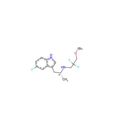 C[C@H](Cc1c[nH]c2ccc(F)cc12)NCC(F)(F)COC(C)(C)C